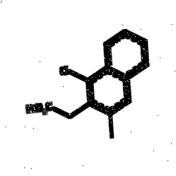 CCOC(=O)Cc1c(C)cc2ccccc2c1Cl